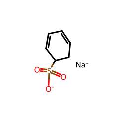 O=S(=O)([O-])C1C=CC=CC1.[Na+]